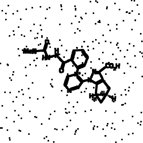 CNC(=O)NNC(=O)c1ccccc1-[n+]1ccncc1-n1nc(C(=O)O)c2c1[C@@H]1C[C@@H]1C2